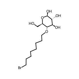 OC[C@H]1O[C@@H](O)[C@H](O)[C@@H](O)[C@@H]1OCCCCCCCCBr